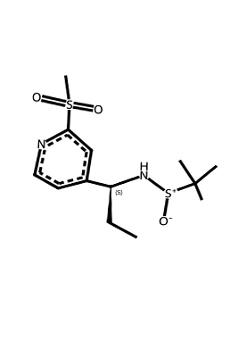 CC[C@H](N[S+]([O-])C(C)(C)C)c1ccnc(S(C)(=O)=O)c1